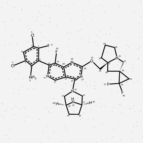 Nc1c(Cl)cc(Cl)c(F)c1-c1ncc2c(N3C[C@H]4CC[C@@H](C3)N4)nc(OC[C@@]34CCCN3C[C@@]3(CC3(F)F)C4)nc2c1F